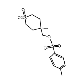 Cc1ccc(S(=O)(=O)OCC2(C)CCS(=O)(=O)CC2)cc1